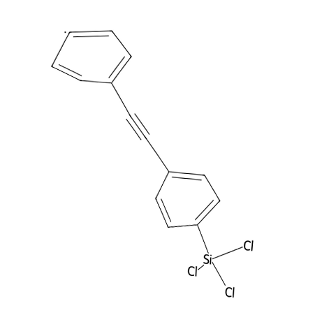 Cl[Si](Cl)(Cl)c1ccc(C#Cc2cc[c]cc2)cc1